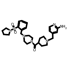 Nc1cc(CN2CCC(C(=O)N3CCN(Cc4ccccc4S(=O)(=O)N4CCCC4)CC3)CC2)ccn1